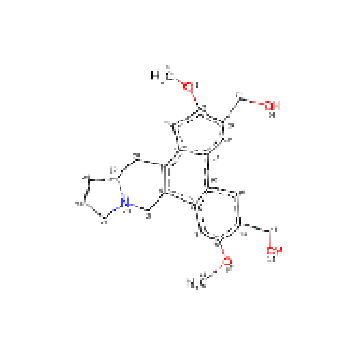 COc1cc2c3c(c4cc(OC)c(CO)cc4c2cc1CO)CN1CCCC1C3